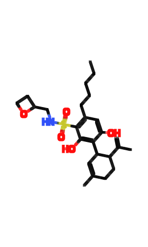 C=C(C)C1CCC(C)=CC1c1c(O)cc(CCCCC)c(S(=O)(=O)NCC2CCO2)c1O